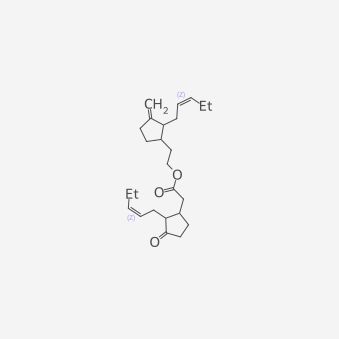 C=C1CCC(CCOC(=O)CC2CCC(=O)C2C/C=C\CC)C1C/C=C\CC